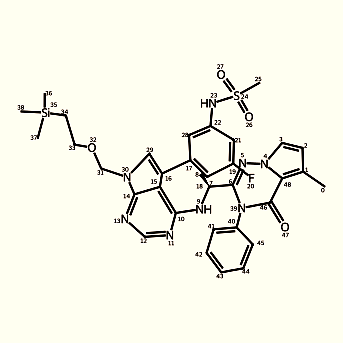 Cc1ccn2nc([C@H](C)Nc3ncnc4c3c(-c3cc(F)cc(NS(C)(=O)=O)c3)cn4COCC[Si](C)(C)C)n(-c3ccccc3)c(=O)c12